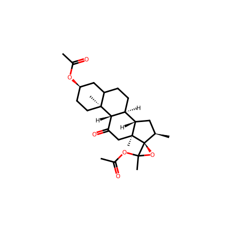 CC(=O)O[C@@H]1CC[C@@]2(C)C(CC[C@@H]3[C@@H]2C(=O)C[C@@]2(C)[C@H]3C[C@@H](C)[C@@]23OC3(C)OC(C)=O)C1